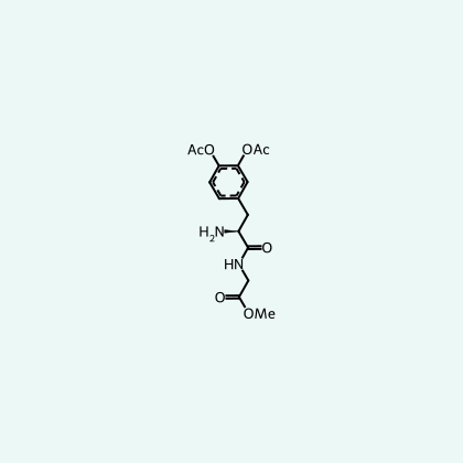 COC(=O)CNC(=O)[C@@H](N)Cc1ccc(OC(C)=O)c(OC(C)=O)c1